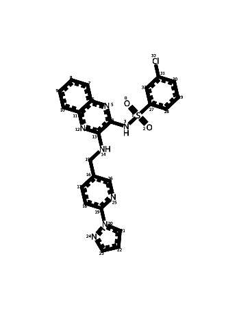 O=S(=O)(Nc1nc2ccccc2nc1NCc1ccc(-n2cccn2)nc1)c1cccc(Cl)c1